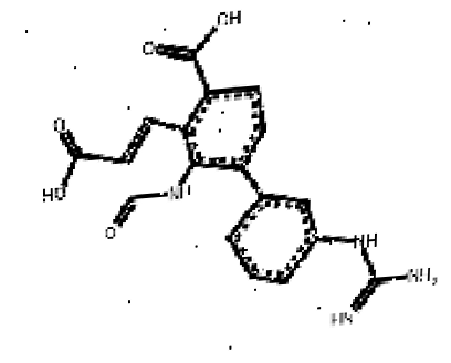 N=C(N)Nc1cccc(-c2ccc(C(=O)O)c(C=CC(=O)O)c2NC=O)c1